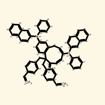 C=Cc1ccc(CC2(Cc3ccc(C=C)cc3)C(=C)/C=C\C(N(c3ccccc3)c3ccc4ccccc4c3)=C/Cc3cc(N(c4ccccc4)c4ccc5ccccc5c4)ccc32)cc1